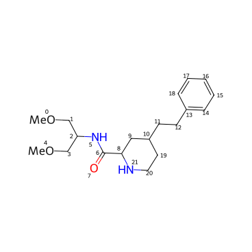 COCC(COC)NC(=O)C1CC(CCc2ccccc2)CCN1